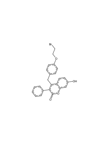 O=c1oc2cc(O)ccc2c(Cc2ccc(OCCBr)cc2)c1-c1ccccc1